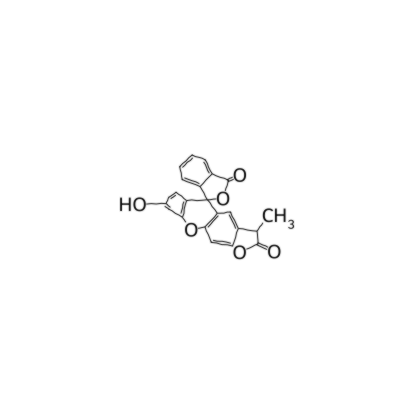 CC1C(=O)Oc2cc3c(cc21)C1(OC(=O)c2ccccc21)c1ccc(O)cc1O3